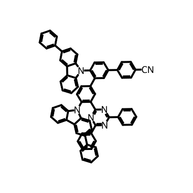 N#Cc1ccc(-c2ccc(-n3c4ccccc4c4cc(-c5ccccc5)ccc43)c(-c3ccc(-n4c5ccccc5c5cc(-c6ccccc6)ccc54)c(-c4nc(-c5ccccc5)nc(-c5ccccc5)n4)c3)c2)cc1